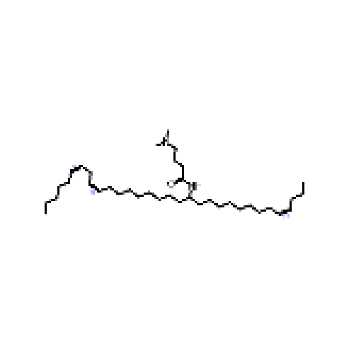 CCC/C=C\CCCCCCCCC(CCCCCCCC/C=C\C/C=C\CCCCC)NC(=O)CCCN(C)C